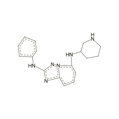 c1ccc(Nc2nc3cccc(NC4CCCNC4)n3n2)cc1